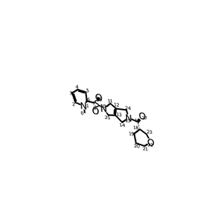 CN1C=CC=CC1S(=O)(=O)N1CC2=C(CN(C(=O)[C@H]3CCCOC3)C2)C1